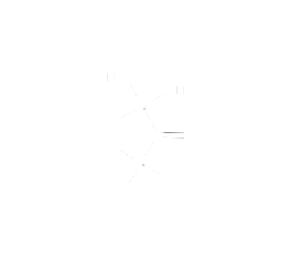 C[Si](C)(C)[P](=O)[Si](C)(C)C